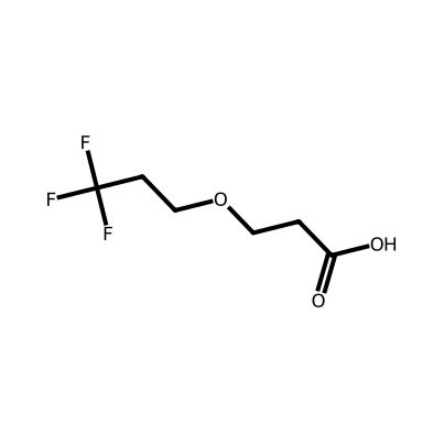 O=C(O)CCOCCC(F)(F)F